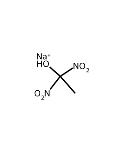 CC(O)([N+](=O)[O-])[N+](=O)[O-].[Na+]